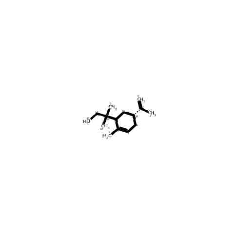 C=C(C)[C@@H]1CC=C(C)C(C(C)(C)CO)C1